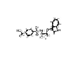 C[C@H](NS(=O)(=O)c1ccc(C(=O)O)cc1)C(=O)Oc1c[nH]c2ccccc12